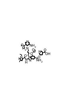 CCn1nc(C)cc1C(=O)Nc1nc2cc(C(N)=O)cc(OC3CCO3)c2n1CC=CCN.COC(=O)c1cncc(N)c1.O=C(O)c1cccnc1